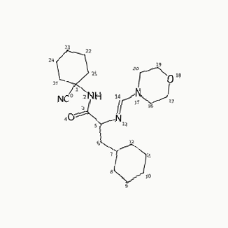 N#CC1(NC(=O)C(CC2CCCCC2)N=CN2CCOCC2)CCCCC1